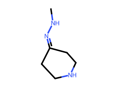 CNN=C1CCNCC1